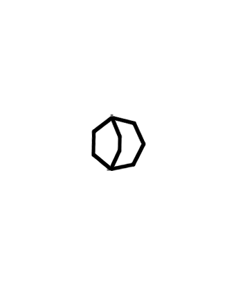 C1C[C]2CC[C](C1)CC2